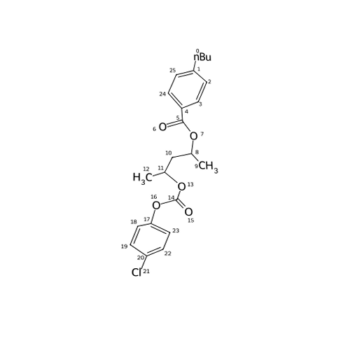 CCCCc1ccc(C(=O)OC(C)CC(C)OC(=O)Oc2ccc(Cl)cc2)cc1